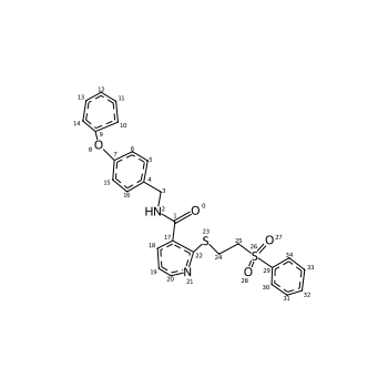 O=C(NCc1ccc(Oc2ccccc2)cc1)c1cccnc1SCCS(=O)(=O)c1ccccc1